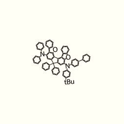 CC(C)(C)c1ccc(N(c2ccc(-c3ccccc3)cc2)c2cc3c(c4c2oc2ccccc24)-c2c(cc(N(c4ccccc4)c4ccccc4)c4c2oc2ccccc24)C3(c2ccccc2)c2ccccc2)cc1